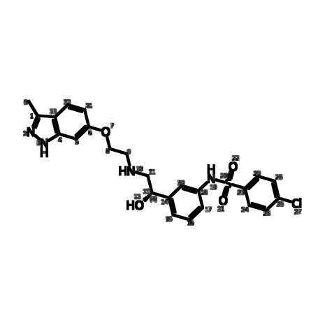 Cc1n[nH]c2cc(OCCNC[C@H](O)c3cccc(NS(=O)(=O)c4ccc(Cl)cc4)c3)ccc12